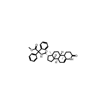 COC(=O)C(NC(=O)[C@H]1CC[C@H]2[C@@H]3CC=C4NC(=O)CC[C@]4(C)[C@H]3CC[C@]12C)(c1ccccc1)c1ccccc1